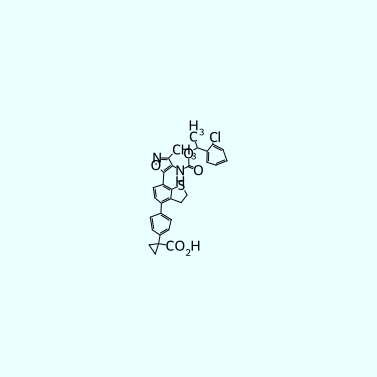 Cc1noc(-c2ccc(-c3ccc(C4(C(=O)O)CC4)cc3)c3c2SCC3)c1NC(=O)OC(C)c1ccccc1Cl